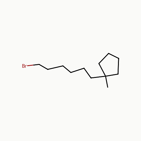 CC1(CCCCCCBr)CCCC1